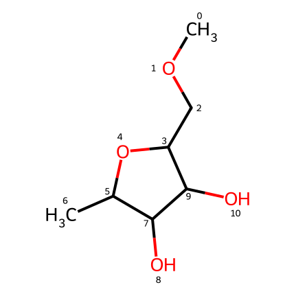 COCC1OC(C)C(O)C1O